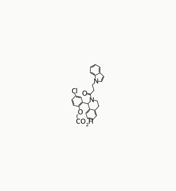 O=C(O)COc1ccc(Cl)cc1C1c2ccccc2CCN1C(=O)CCn1ccc2ccccc21